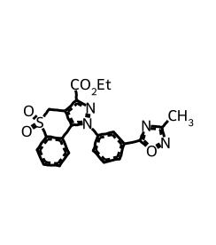 CCOC(=O)c1nn(-c2cccc(-c3nc(C)no3)c2)c2c1CS(=O)(=O)c1ccccc1-2